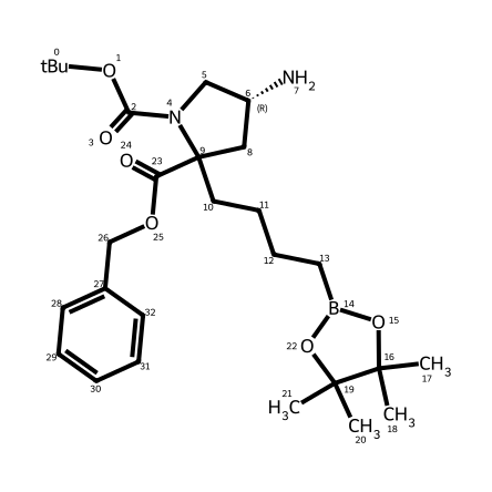 CC(C)(C)OC(=O)N1C[C@H](N)CC1(CCCCB1OC(C)(C)C(C)(C)O1)C(=O)OCc1ccccc1